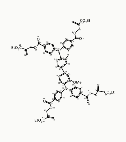 C=C(COC(=O)c1ccc(N(c2ccc(C(=O)OCC(=C)C(=O)OCC)cc2)c2ccc(-c3ccc(N(c4ccc(C(=O)OCC(=C)C(=O)OCC)cc4)c4ccc(C(=O)OCC(=C)C(=O)OCC)cc4)c(OC)c3)cc2C)cc1)C(=O)OCC